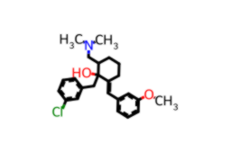 COc1cccc(C=C2CCCC(CN(C)C)C2(O)Cc2cccc(Cl)c2)c1